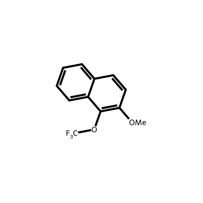 COc1ccc2ccccc2c1OC(F)(F)F